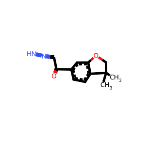 CC1(C)COc2cc(C(=O)C=[N+]=N)ccc21